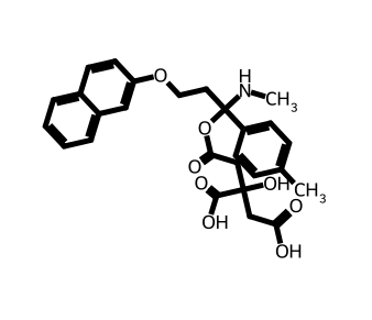 CNC(CCOc1ccc2ccccc2c1)(OC(=O)CC(O)(CC(=O)O)C(=O)O)c1ccc(C)cc1